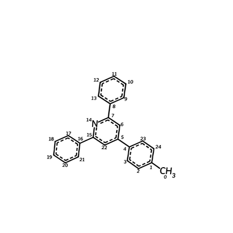 Cc1ccc(-c2cc(-c3ccccc3)nc(-c3ccccc3)c2)cc1